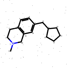 CN1CCc2ccc(CC3CCCC3)cc2C1